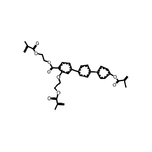 C=C(C)C(=O)OCCOC(=O)c1ccc(-c2ccc(-c3ccc(OC(=O)C(=C)C)cc3)cc2)cc1OCCOC(=O)C(=C)C